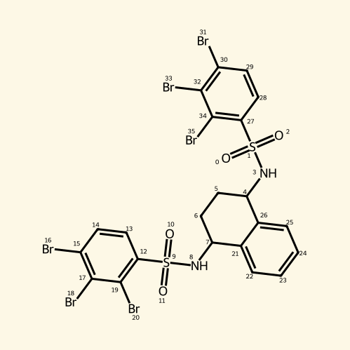 O=S(=O)(NC1CCC(NS(=O)(=O)c2ccc(Br)c(Br)c2Br)c2ccccc21)c1ccc(Br)c(Br)c1Br